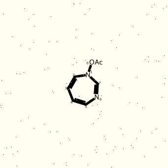 CC(=O)ON1C=CC=CN=C1